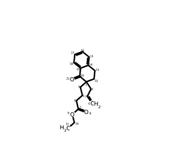 C=CCC1(CCCC(=O)OCC)CCc2ccccc2C1=O